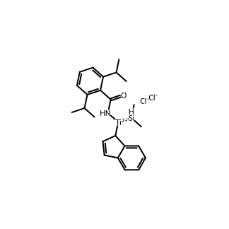 CC(C)c1cccc(C(C)C)c1C(=O)[NH][Ti+2]([CH]1C=Cc2ccccc21)[SiH](C)C.[Cl-].[Cl-]